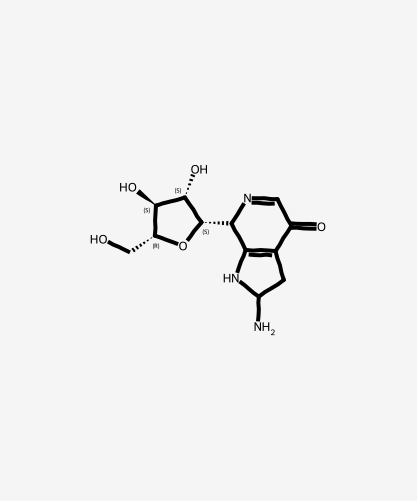 NC1CC2=C(N1)C([C@@H]1O[C@H](CO)[C@@H](O)[C@@H]1O)N=CC2=O